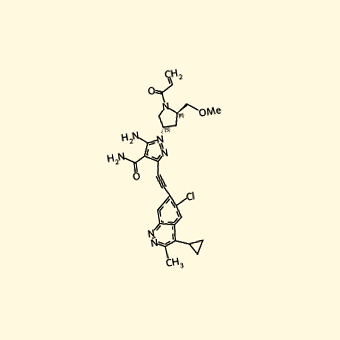 C=CC(=O)N1C[C@@H](n2nc(C#Cc3cc4nnc(C)c(C5CC5)c4cc3Cl)c(C(N)=O)c2N)C[C@@H]1COC